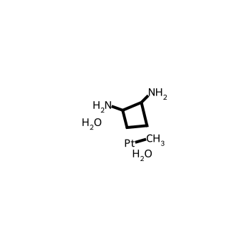 NC1CCC1N.O.O.[CH3][Pt]